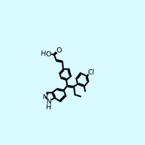 CC/C(=C(/c1ccc(/C=C/C(=O)O)cc1)c1ccc2[nH]ncc2c1)c1ccc(Cl)cc1C